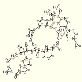 CCn1c(-c2cc(N3CCN(C4CC4)CC3)cnc2[C@H](C)OC)c2c3cc(ccc31)-c1csc(n1)C[C@H](NC(=O)[C@H](C(C)C)N1CC[C@]3(CCN(C(=O)[C@@H]4N[C@@H]4C4CC4)C3)C1)C(=O)N1CCC[C@H](N1)C(=O)OCC(C)(C)C2